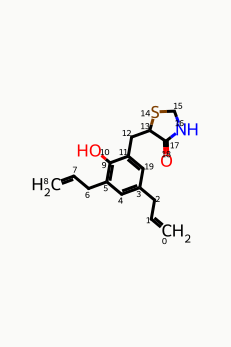 C=CCc1cc(CC=C)c(O)c(CC2SCNC2=O)c1